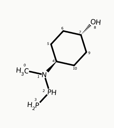 CN(PP)[C@H]1CC[C@H](O)CC1